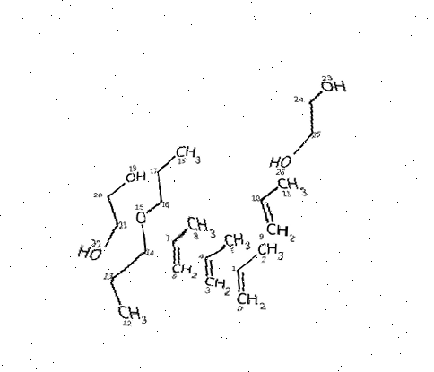 C=CC.C=CC.C=CC.C=CC.CCCOCCC.OCCO.OCCO